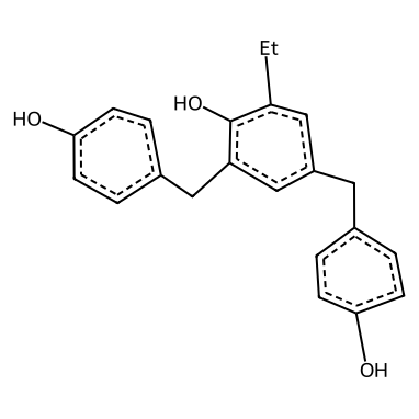 CCc1cc(Cc2ccc(O)cc2)cc(Cc2ccc(O)cc2)c1O